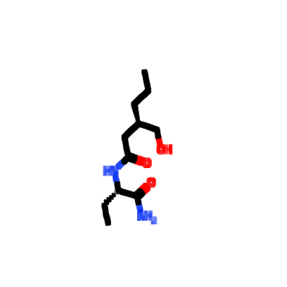 CCC[C@@H](CO)CC(=O)N[C@@H](CC)C(N)=O